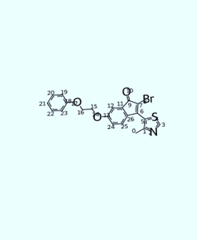 Cc1ncsc1C1=C(Br)C(=O)c2cc(OCCOc3ccccc3)ccc21